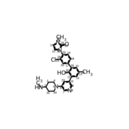 CNC1CCN(c2cncc(-c3cc(C)cc(-c4ccc(-n5ccn(C)c5=O)c(Cl)c4)c3O)c2)CC1